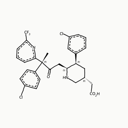 C[C@@](C(=O)C[C@@H]1NC[C@@H](CC(=O)O)C[C@@H]1c1cccc(Cl)c1)(c1ccc(Cl)cc1)c1cccc(C(F)(F)F)n1